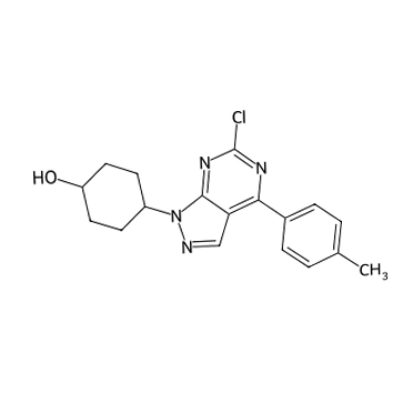 Cc1ccc(-c2nc(Cl)nc3c2cnn3C2CCC(O)CC2)cc1